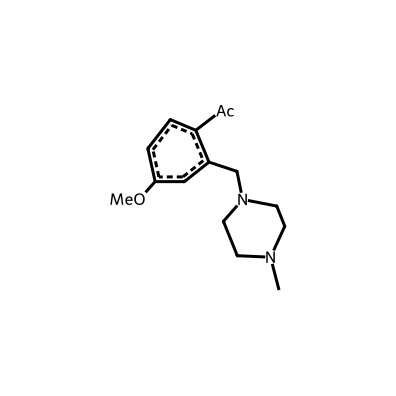 COc1ccc(C(C)=O)c(CN2CCN(C)CC2)c1